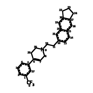 FC(F)(F)c1cccc(C2=CCN(CCc3ccc4cc5c(cc4c3)CCC5)CC2)c1